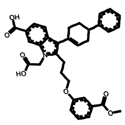 COC(=O)c1cccc(OCCCc2c(C3=CCC(c4ccccc4)CC3)c3ccc(C(=O)O)cc3n2CC(=O)O)c1